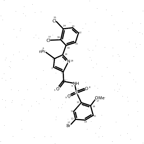 CCCC1C=C(C(=O)NS(=O)(=O)c2cc(Br)ccc2OC)N=C1c1cccc(Cl)c1Cl